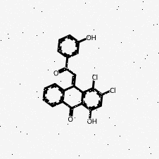 O=C(C=C1c2ccccc2C(=O)c2c(O)cc(Cl)c(Cl)c21)c1cccc(O)c1